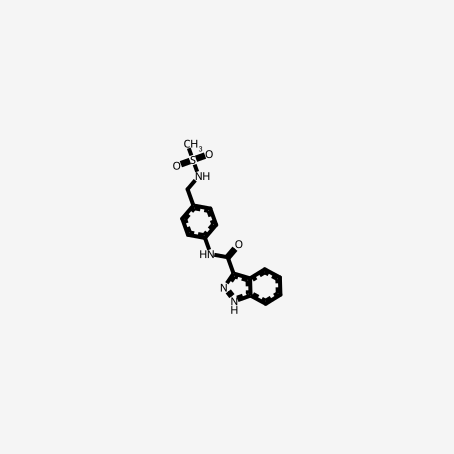 CS(=O)(=O)NCc1ccc(NC(=O)c2n[nH]c3ccccc23)cc1